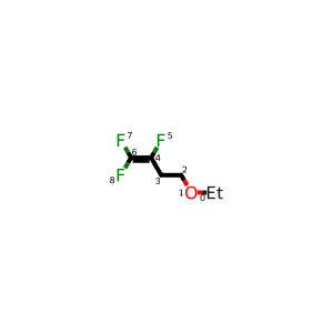 CCOCCC(F)=C(F)F